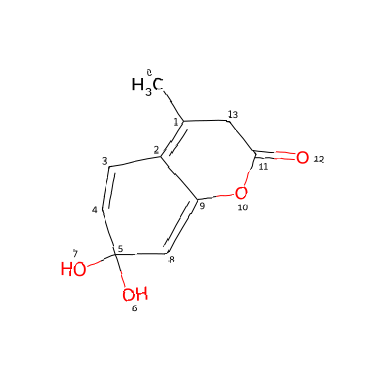 CC1=C2C=CC(O)(O)C=C2OC(=O)C1